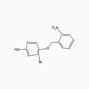 O=[N+]([O-])c1ccccc1COc1ccc(O)cc1Br